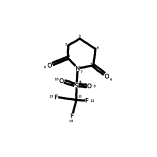 O=C1CCCC(=O)N1S(=O)(=O)C(F)(F)F